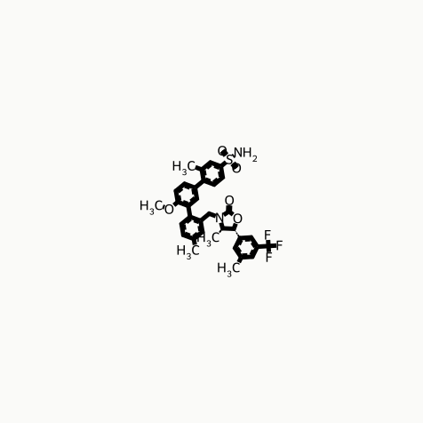 COc1ccc(-c2ccc(S(N)(=O)=O)cc2C)cc1-c1ccc(C)cc1CN1C(=O)O[C@H](c2cc(C)cc(C(F)(F)F)c2)[C@@H]1C